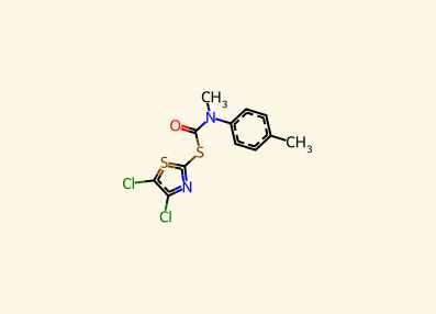 Cc1ccc(N(C)C(=O)Sc2nc(Cl)c(Cl)s2)cc1